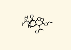 CCOC(=O)C(C(C)=O)c1cnn(PI)c(=O)c1Cl